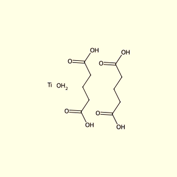 O.O=C(O)CCCC(=O)O.O=C(O)CCCC(=O)O.[Ti]